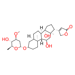 CO[C@H]1C[C@H](O[C@H]2CC[C@@]3(C)[C@H](CC[C@@H]4[C@@H]3[C@H](O)C[C@]3(C)[C@@H](C5=CC(=O)OC5)CC[C@]43O)C2)O[C@@H](C)[C@@H]1O